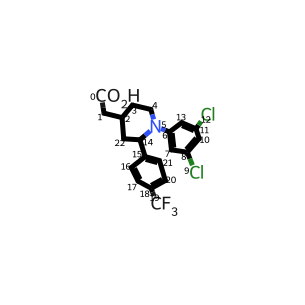 O=C(O)CC1CCN(c2cc(Cl)cc(Cl)c2)C(c2ccc(C(F)(F)F)cc2)C1